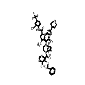 Cc1ncnc(C(=O)N2CCN(c3c4n(c5nc(C6=CCOCC6)nn5c3=O)C(C(=O)Nc3ccc(C(F)(F)F)cc3Cl)C[C@H]4C)[C@H]3CC[C@@H]32)c1OCc1ccccc1